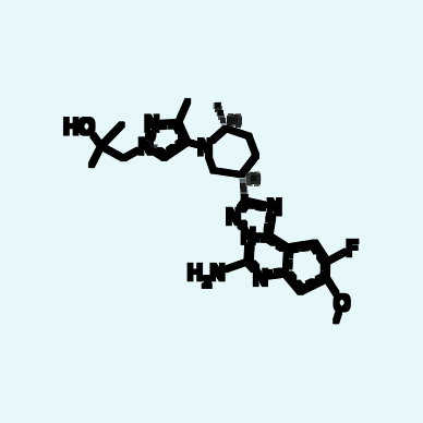 COc1cc2nc(N)n3nc([C@H]4CC[C@@H](C)N(c5cn(CC(C)(C)O)nc5C)C4)nc3c2cc1F